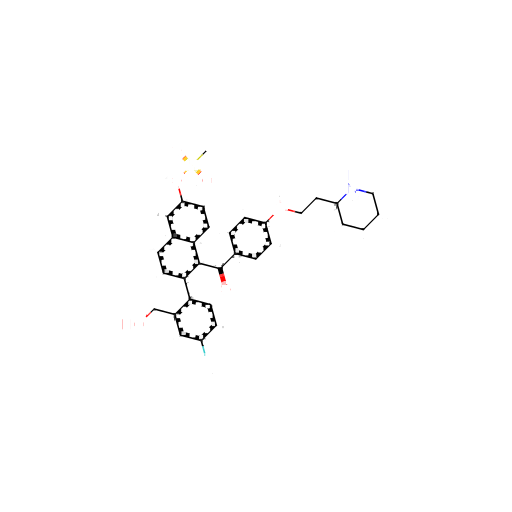 CS(=O)(=O)Oc1ccc2c(C(=O)c3ccc(OCCC4CCCCN4)cc3)c(-c3ccc(F)cc3CO)ccc2c1